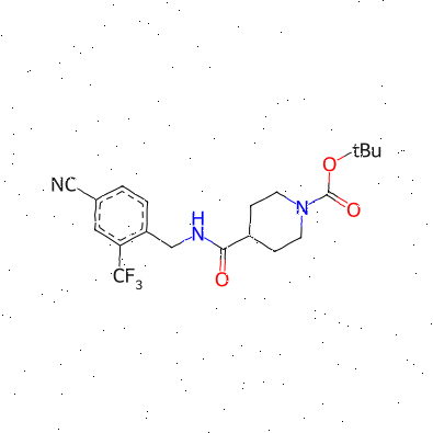 CC(C)(C)OC(=O)N1CCC(C(=O)NCc2ccc(C#N)cc2C(F)(F)F)CC1